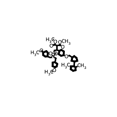 COC(=O)C(C(=O)OC)C(CS(=O)(=O)N(Cc1ccc(OC)cc1)Cc1ccc(OC)cc1)c1ccc(OCc2cccc(-c3c(C)cccc3C)c2)cc1